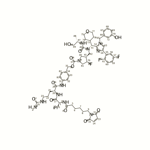 CC(C)[C@H](NC(=O)CCCCCN1C(=O)C=CC1=O)C(=O)N[C@@H](CCCNC(N)=O)C(=O)Nc1ccc(COC(=O)N2C[C@@H](CN(C(=O)N[C@@H](C)CO)[C@@H](c3nc(-c4cc(F)ccc4F)cn3Cc3cccc(O)c3)C3CCOCC3)[C@@H](F)C2)cc1